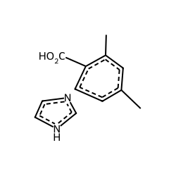 Cc1ccc(C(=O)O)c(C)c1.c1c[nH]cn1